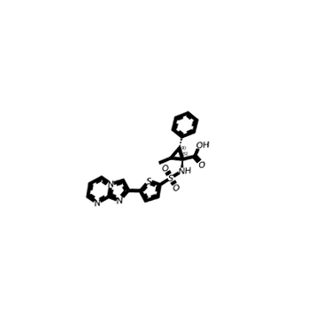 CC1[C@H](c2ccccc2)[C@]1(NS(=O)(=O)c1ccc(-c2cn3cccnc3n2)s1)C(=O)O